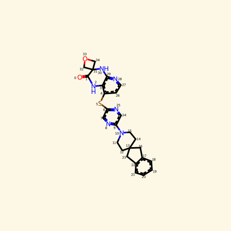 O=C1Nc2c(Sc3cnc(N4CCC5(CC4)Cc4ccccc4C5)cn3)ccnc2NC12COC2